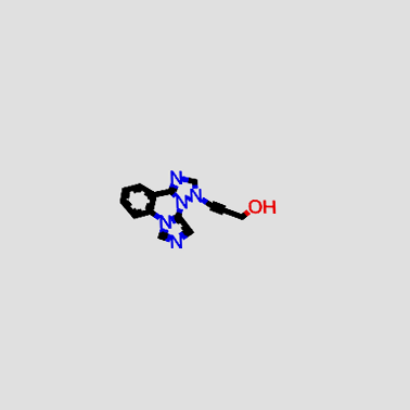 OCC#CN1CN=C2c3ccccc3-n3cncc3N21